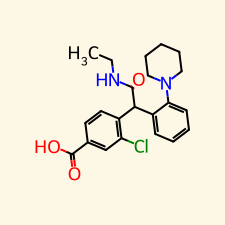 CCNC(=O)C(c1ccc(C(=O)O)cc1Cl)c1ccccc1N1CCCCC1